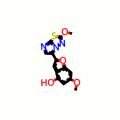 COc1cc(O)c2cc(-c3cnc4sc(OC)nn34)oc2c1